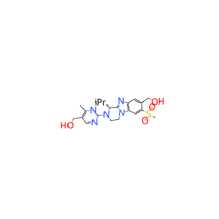 Cc1nc(N2CCn3c(nc4cc(CO)c(S(C)(=O)=O)cc43)[C@@H]2C(C)C)ncc1CO